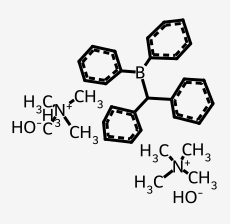 C[N+](C)(C)C.C[N+](C)(C)C.[OH-].[OH-].c1ccc(B(c2ccccc2)C(c2ccccc2)c2ccccc2)cc1